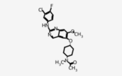 COc1cc2nc(Nc3ccc(F)c(Cl)c3)ncc2cc1O[C@H]1CC[C@@H](N(C)C(C)=O)CC1